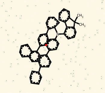 CC1(C)c2ccccc2-c2c(N(c3ccc(-c4ccc(-c5ccccc5)cc4)cc3)c3ccccc3-c3ccc(-c4cccc5ccccc45)cc3)cccc21